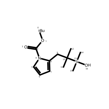 CC(C)(C)OC(=O)n1cccc1CC(C)(C)[Si](C)(C)O